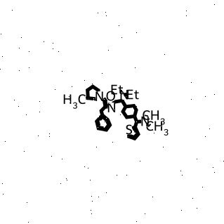 CCN(CC)C(c1nc(Cc2ccccc2)c(N2CCCC(C)C2)o1)C1CCC(C(c2cccs2)N(C)C)CC1